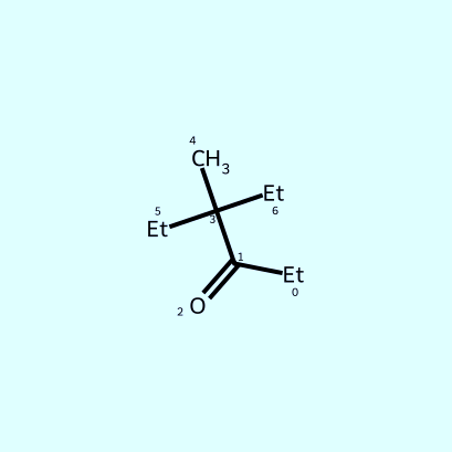 [CH2]CC(=O)C(C)(CC)CC